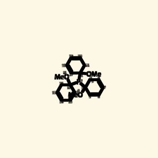 COC1(P(C2(OC)C=CC=CC2)C2(OC)C=CC=CC2)C=CC=CC1